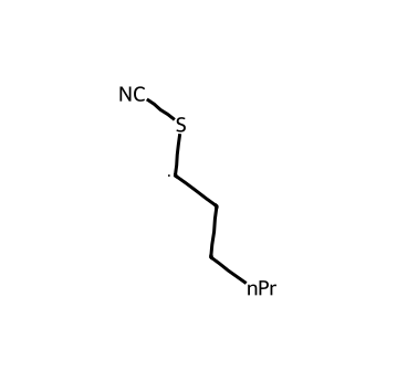 CCCCC[CH]SC#N